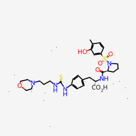 Cc1ccc(S(=O)(=O)N2CCC[C@H]2C(=O)N[C@@H](Cc2ccc(NC(=S)NCCCN3CCOCC3)cc2)C(=O)O)cc1O